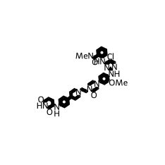 CNC(=O)c1ccccc1Nc1nc(Nc2ccc(N3CCN(CCN4CCC(c5ccc(NC6CCC(=O)NC6=O)cc5)CC4)C(=O)C3)cc2OC)ncc1Cl